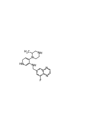 CC1CNCCN1C1=CCNC=C1NCc1cc(F)c2nccnc2c1